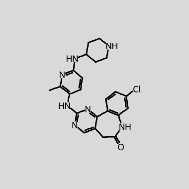 Cc1nc(NC2CCNCC2)ccc1Nc1ncc2c(n1)-c1ccc(Cl)cc1NC(=O)C2